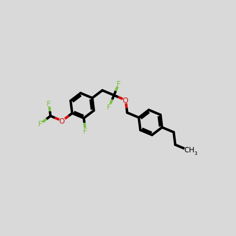 CCCc1ccc(COC(F)(F)Cc2ccc(OC(F)F)c(F)c2)cc1